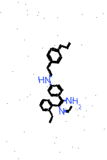 C/C=N\C(=C(/N)c1ccc(NCCc2ccc(CCC)cc2)cc1)c1ccccc1CC